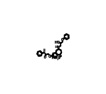 CS(=O)(=O)O.O=C(COc1ccc2c(c1)CC(NCC(O)COc1ccccc1)CCC2)Nc1ccccc1